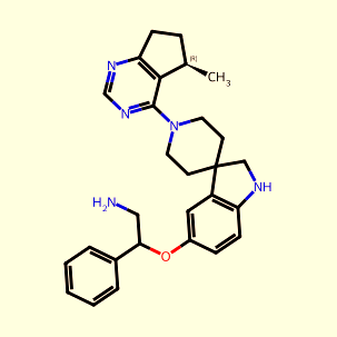 C[C@@H]1CCc2ncnc(N3CCC4(CC3)CNc3ccc(OC(CN)c5ccccc5)cc34)c21